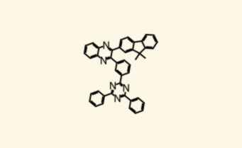 CC1(C)c2ccccc2-c2ccc(-c3nc4ccccc4nc3-c3cccc(-c4nc(-c5ccccc5)nc(-c5ccccc5)n4)c3)cc21